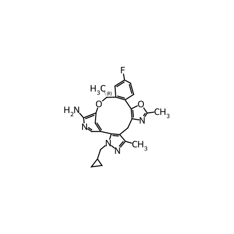 Cc1nc2c(o1)-c1ccc(F)cc1[C@@H](C)Oc1cc(cnc1N)-c1c(c(C)nn1CC1CC1)C2